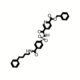 O=C(NCCCCc1ccccc1)c1ccc(S(=O)(=O)NC(=O)c2ccc(C(=O)OCc3ccccc3)nc2)cc1